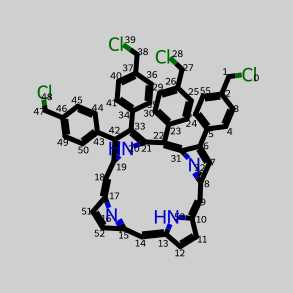 ClCc1ccc(C2=Cc3cc4ccc(cc5nc(cc6[nH]c(c(-c7ccc(CCl)cc7)c2n3)c(-c2ccc(CCl)cc2)c6-c2ccc(CCl)cc2)C=C5)[nH]4)cc1